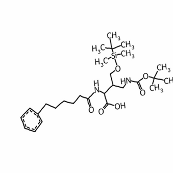 CC(C)(C)OC(=O)NCC(CO[Si](C)(C)C(C)(C)C)C(NC(=O)CCCCCc1ccccc1)C(=O)O